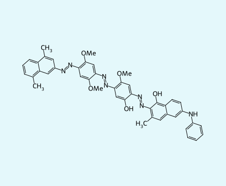 COc1cc(N=Nc2cc(O)c(N=Nc3c(C)cc4cc(Nc5ccccc5)ccc4c3O)cc2OC)c(OC)cc1N=Nc1cc(C)c2cccc(C)c2c1